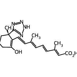 CC(/C=C/C1=C(O)CCC[C@]1(C)c1nn[nH]n1)=C\C=C\C(C)=C\C(=O)O